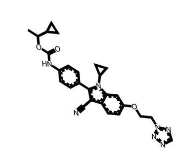 CC(OC(=O)Nc1ccc(-c2c(C#N)c3ccc(OCCn4ncnn4)cc3n2C2CC2)cc1)C1CC1